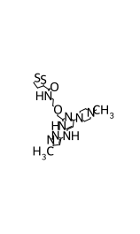 Cc1cc(Nc2cc(N3CCN(C)CC3)nc(COCCNC(=O)C3CCSS3)n2)[nH]n1